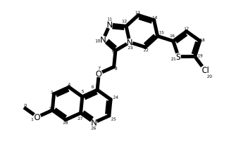 COc1ccc2c(OCc3nnc4ccc(-c5ccc(Cl)s5)cn34)ccnc2c1